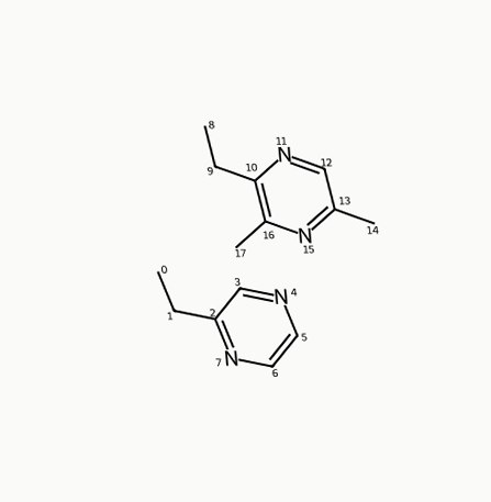 CCc1cnccn1.CCc1ncc(C)nc1C